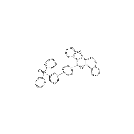 O=P(c1ccccc1)(c1ccccc1)c1cccc(-c2ccc(-c3nc4c5ccccc5ccc4c4sc5ccccc5c34)cc2)c1